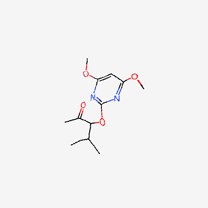 COc1cc(OC)nc(OC(C(C)=O)C(C)C)n1